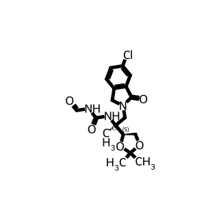 CC1(C)OC[C@H]([C@](C)(CN2Cc3ccc(Cl)cc3C2=O)NC(=O)NC=O)O1